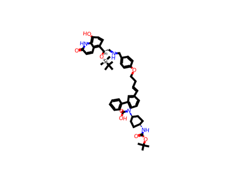 CC(C)(C)OC(=O)N[C@H]1CC[C@H](N(C(=O)O)c2ccc(C=CCCOc3ccc(CNC[C@H](O[Si](C)(C)C(C)(C)C)c4ccc(O)c5[nH]c(=O)ccc45)cc3)cc2-c2ccccc2)CC1